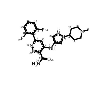 CN1CCC(n2cc(Nc3cc(-c4c(F)cccc4F)nnc3C(N)=O)cn2)CC1